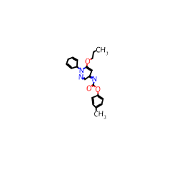 CCCOc1cc(=NC(=O)Oc2ccc(C)cc2)cnn1C1C=CCC=C1